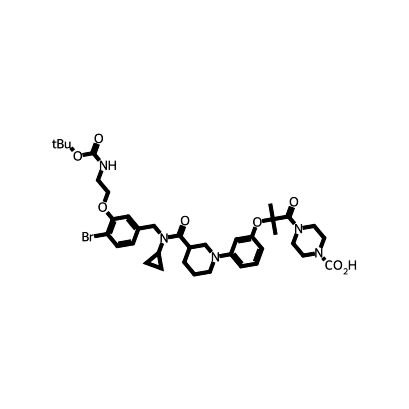 CC(C)(C)OC(=O)NCCOc1cc(CN(C(=O)C2CCCN(c3cccc(OC(C)(C)C(=O)N4CCN(C(=O)O)CC4)c3)C2)C2CC2)ccc1Br